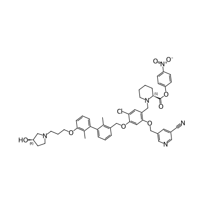 Cc1c(COc2cc(OCc3cncc(C#N)c3)c(CN3CCCC[C@H]3C(=O)Oc3ccc([N+](=O)[O-])cc3)cc2Cl)cccc1-c1cccc(OCCCN2CC[C@@H](O)C2)c1C